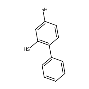 Sc1ccc(-c2ccccc2)c(S)c1